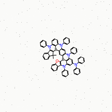 CC1(C)C2=C(c3ccccc31)N(c1ccccc1)c1cccc3c1B2c1cc2c(cc1N3c1ccccc1)N(c1ccccc1)c1cc(N(c3ccccc3)c3ccccc3)cc3c1B2c1oc2ccccc2c1N3c1ccccc1